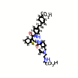 O=C(O)CNCCN(Cc1cccc(C(=O)Nc2sc3c(c2C(=O)Nc2ccc(CCc4ccc(C(=O)O)cc4)cc2)CCCC3)c1)C1CC1